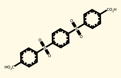 O=C(O)c1ccc(S(=O)(=O)c2ccc(S(=O)(=O)c3ccc(C(=O)O)cc3)cc2)cc1